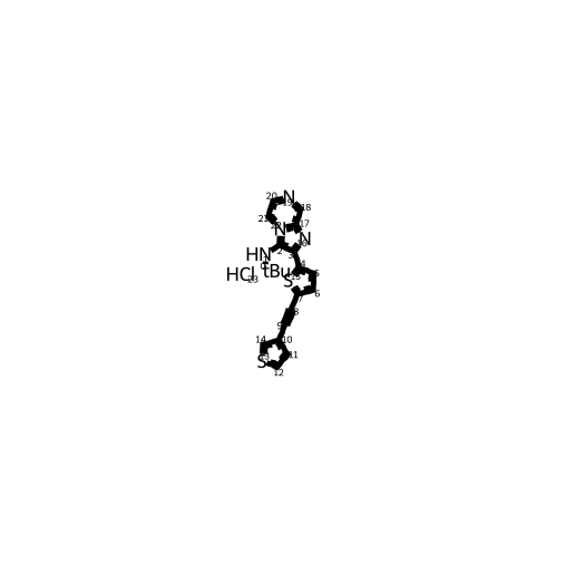 CC(C)(C)Nc1c(-c2ccc(C#Cc3ccsc3)s2)nc2cnccn12.Cl